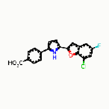 O=C(O)c1ccc(-c2ccc(-c3cc4cc(F)cc(Cl)c4o3)[nH]2)cc1